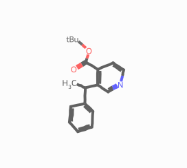 CC(c1ccccc1)c1cnccc1C(=O)OC(C)(C)C